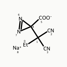 CCC(C#N)(C#N)C1(C(=O)[O-])N=N1.[Na+]